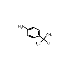 CC(C)(Cl)c1ccc(N)cc1